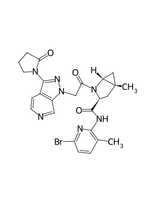 Cc1ccc(Br)nc1NC(=O)[C@@H]1C[C@@]2(C)C[C@H]2N1C(=O)Cn1nc(N2CCCC2=O)c2ccncc21